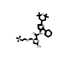 CC1(C)CC(c2ccc(NC(=O)C3=NC(C#N)CN3COCC[Si](C)(C)C)c(C3=CCCCC3)n2)CC(C)(C)O1